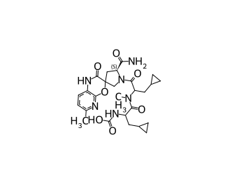 Cc1ccc2c(n1)OC1(C[C@@H](C(N)=O)N(C(=O)C(CC3CC3)N(C)C(=O)C(CC3CC3)NC(=O)O)C1)C(=O)N2